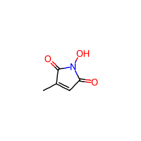 CC1=CC(=O)N(O)C1=O